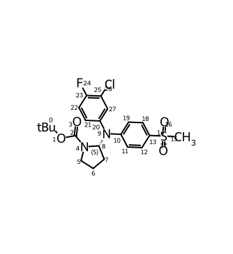 CC(C)(C)OC(=O)N1CCC[C@H]1N(c1ccc(S(C)(=O)=O)cc1)c1ccc(F)c(Cl)c1